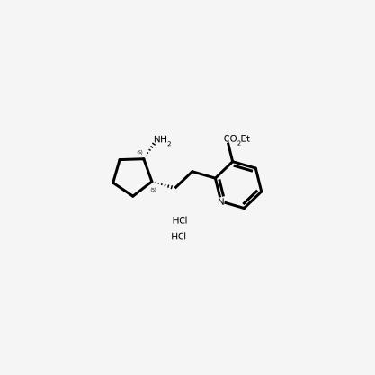 CCOC(=O)c1cccnc1CC[C@@H]1CCC[C@@H]1N.Cl.Cl